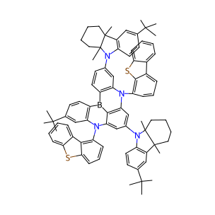 CC(C)(C)c1ccc2c(c1)N(c1cccc3sc4ccccc4c13)c1cc(N3c4ccc(C(C)(C)C)cc4C4(C)CCCCC34C)cc3c1B2c1ccc(N2c4ccc(C(C)(C)C)cc4C4(C)CCCCC24C)cc1N3c1cccc2c1sc1ccccc12